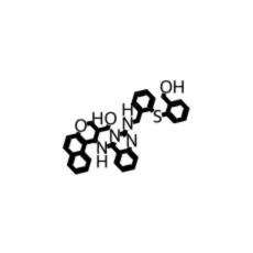 OCc1ccccc1Sc1ccccc1CNc1nc(NC2c3c(ccc4ccccc34)OCC2CO)c2ccccc2n1